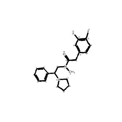 CN(CC(c1ccccc1)N1CCCC1)C(=O)Cc1ccc(F)c(F)c1